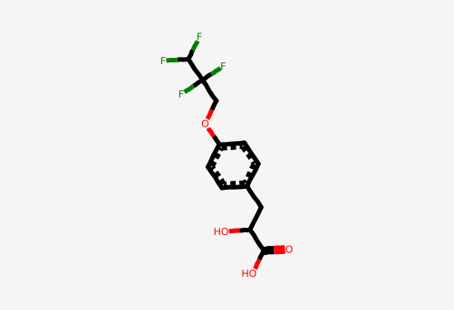 O=C(O)C(O)Cc1ccc(OCC(F)(F)C(F)F)cc1